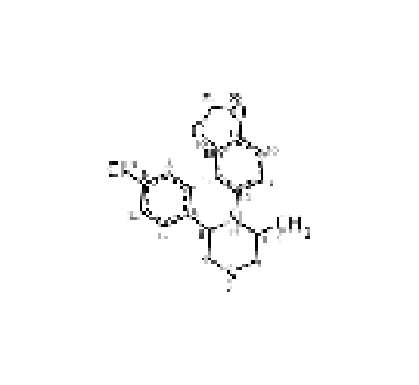 CC1[CH]SCC(c2ccc(Cl)cc2)N1c1ccc2c(c1)OCO2